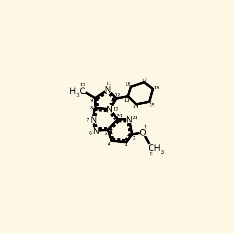 COc1ccc2nnc3c(C)nc(C4CCCCC4)n3c2n1